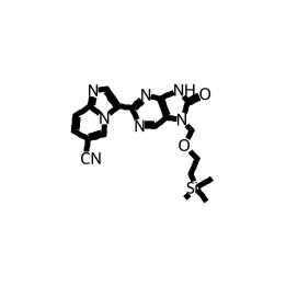 C[Si](C)(C)CCOCn1c(=O)[nH]c2nc(-c3cnc4ccc(C#N)cn34)ncc21